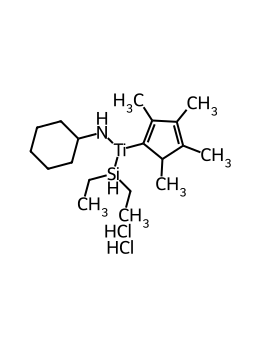 CC[SiH](CC)[Ti]([NH]C1CCCCC1)[C]1=C(C)C(C)=C(C)C1C.Cl.Cl